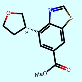 COC(=O)c1cc([C@@H]2CCOC2)c2ncsc2c1